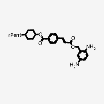 CCCCCC1CCC(OC(=O)c2ccc(/C=C/C(=O)OCc3cc(N)ccc3N)cc2)CC1